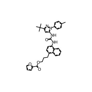 Cc1ccc(-n2nc(C(C)(C)C)cc2NC(=O)Nc2ccc(CCCOC(=O)c3ccco3)c3ccccc23)cc1